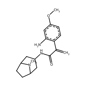 C=C(C(=O)NC1CC2CCC(C1)N2C)c1ccc(OC)cc1N